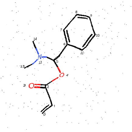 C=CC(=O)OC(c1ccccc1)N(C)C